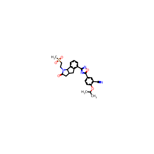 CC(C)Oc1ccc(-c2nc(-c3cccc4c3CC3CC(=O)N(CCS(C)(=O)=O)C43)no2)cc1C#N